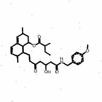 CCC(C)C(=O)OC1CC(C)C=C2C=CC(C)C(CCC(=O)CC(O)CC(=O)NCc3ccc(OC)cc3)C21